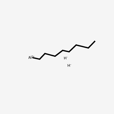 CCCCCCC[CH2][Al+2].[H-].[H-]